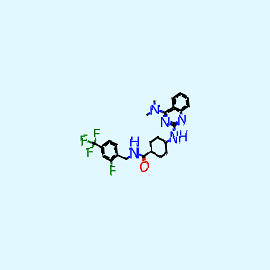 CN(C)c1nc(NC2CCC(C(=O)NCc3ccc(C(F)(F)F)cc3F)CC2)nc2ccccc12